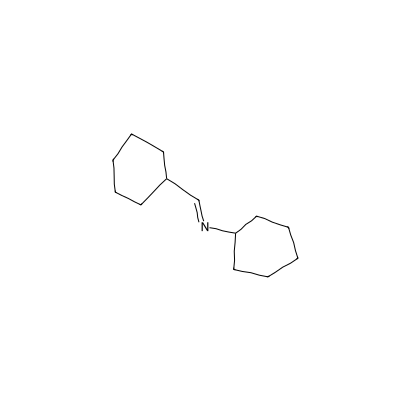 C(=N\C1CCCCC1)/C1CCCCC1